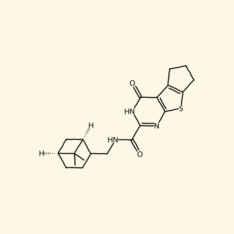 CC1(C)[C@H]2CCC(CNC(=O)c3nc4sc5c(c4c(=O)[nH]3)CCC5)[C@@H]1C2